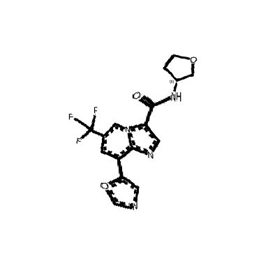 O=C(N[C@H]1CCOC1)c1cnc2c(-c3cnco3)cc(C(F)(F)F)cn12